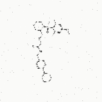 COc1cc(C)c(S(=O)(=O)N2CCCCC2COCC(=O)NCc2ccc(N3CCCCC3)cc2)c(C)c1